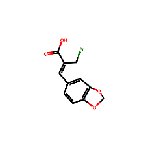 O=C(O)C(=Cc1ccc2c(c1)OCO2)CBr